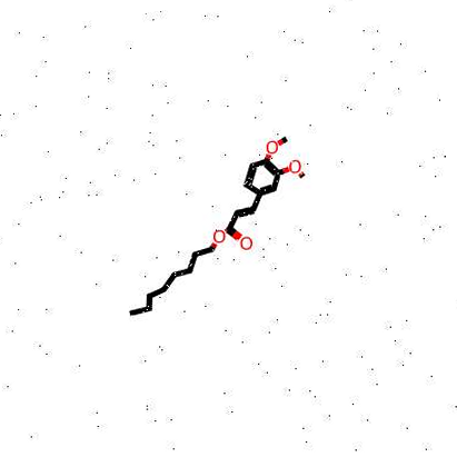 CCCCCCCCOC(=O)/C=C/c1ccc(OC)c(OC)c1